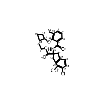 CCOC(=O)C1(NC(=O)c2cccc(C)c2OC2CCC2)Cc2ccc(Cl)c(Cl)c2C1